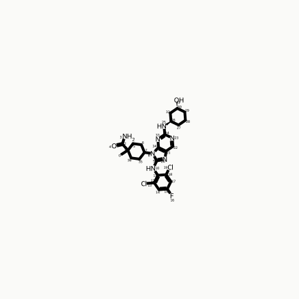 CC1(C(N)=O)CCC(n2c(Nc3c(Cl)cc(F)cc3Cl)nc3cnc(N[C@@H]4CCC[C@@H](O)C4)nc32)CC1